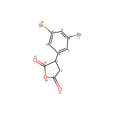 O=C1CC(c2cc(Br)cc(Br)c2)C(=O)O1